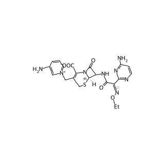 CCO/N=C(\C(=O)NC1C(=O)N2C(C(=O)[O-])=C(C[n+]3cccc(N)c3)CS[C@H]12)c1nccc(N)n1